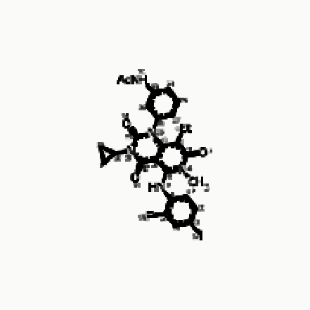 CCc1c(=O)n(C)c(Nc2ccc(I)cc2F)c2c(=O)n(C3CC3)c(=O)n(-c3cccc(NC(C)=O)c3)c12